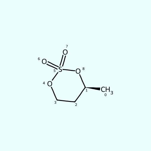 C[C@H]1CCOS(=O)(=O)O1